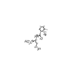 CCOCC(NC(=O)c1ccccc1F)C(=O)O